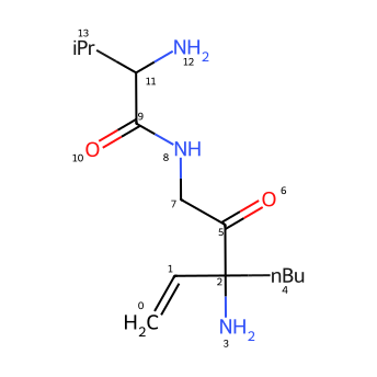 C=CC(N)(CCCC)C(=O)CNC(=O)C(N)C(C)C